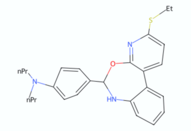 CCCN(CCC)c1ccc(C2Nc3ccccc3-c3ccc(SCC)nc3O2)cc1